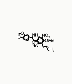 C=CCc1c(OC)c([N+](=O)[O-])cc2c(C(N)c3ccc4c(c3)OCO4)ncnc12